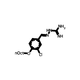 CCCCCCCCOc1ccc(/C=N/NC(=N)N)cc1Cl